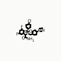 NC(=O)C(c1cc(F)cc(F)c1)N(Cc1ccc(-n2ccnc2)cc1)S(=O)(=O)c1ccc(Cl)cc1